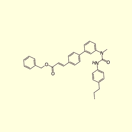 CCCc1ccc(NC(=O)N(C)c2cccc(-c3ccc(/C=C/C(=O)OCc4ccccc4)cc3)c2)cc1